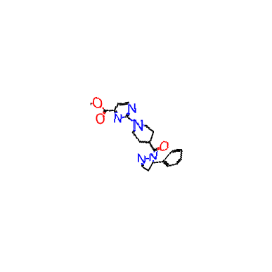 COC(=O)c1ccnc(N2CCC(C(=O)N3N=CCC3c3ccccc3)CC2)n1